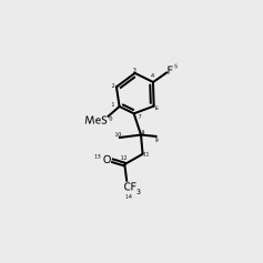 CSc1ccc(F)cc1C(C)(C)CC(=O)C(F)(F)F